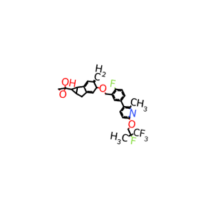 C=C1C=C2C(=CC1OCc1cc(-c3ccc(OCC(C)(F)C(F)(F)F)nc3C)ccc1F)CC1C2C1C1(O)CO1